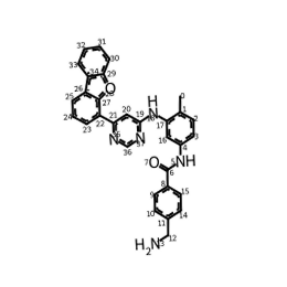 Cc1ccc(NC(=O)c2ccc(CN)cc2)cc1Nc1cc(-c2cccc3c2oc2ccccc23)ncn1